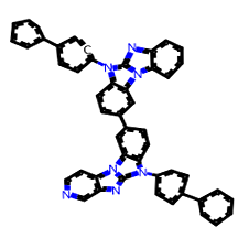 c1ccc(-c2ccc(-n3c4ccc(-c5ccc6c(c5)n5c7ccncc7nc5n6-c5ccc(-c6ccccc6)cc5)cc4n4c5ccccc5nc34)cc2)cc1